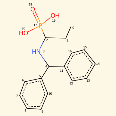 CCC(NC(c1ccccc1)c1ccccc1)P(=O)(O)O